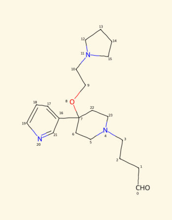 O=CCCCN1CCC(OCCN2CCCC2)(c2cccnc2)CC1